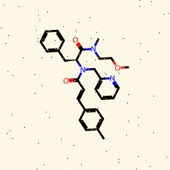 COCCN(C)C(=O)[C@H](Cc1ccccc1)N(Cc1ccccn1)C(=O)/C=C/c1ccc(C)cc1